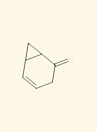 O=C1CC=CC2CC12